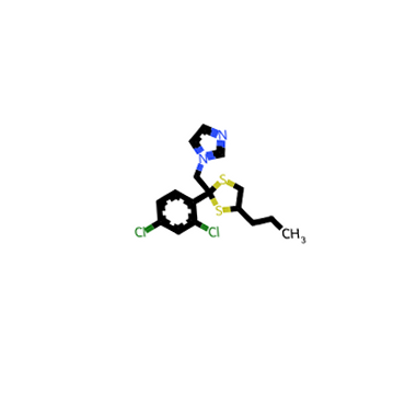 CCCC1CSC(Cn2ccnc2)(c2ccc(Cl)cc2Cl)S1